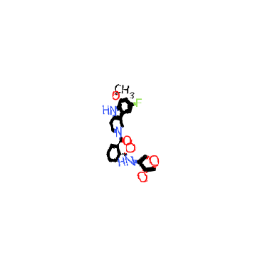 COc1cc(F)cc2c3c([nH]c12)CCN(C(=O)[C@@H]1CCCC[C@H]1C(=O)NC1COCC1=O)C3